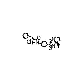 O=C(/C=C/c1ccccc1Cl)Nc1ccc(S(=O)(=O)Nc2ncccn2)cc1